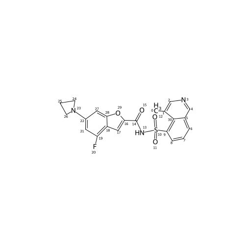 Cc1cncc2cccc(S(=O)(=O)NC(=O)c3cc4c(F)cc(N5CCC5)cc4o3)c12